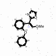 CO/C=C(\c1ncco1)c1ccccc1Oc1ccccc1